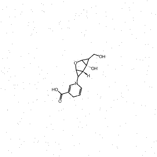 O=C(O)C1=CN(C2C3OC4C(CO)[C@@]4(O)[C@@H]32)C=CC1